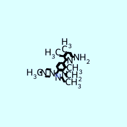 C=Nc1c(/C(=N\CCC)N2CCN(C)CC2)ccc(-c2nc(N)cc(C)c2CC)c1C